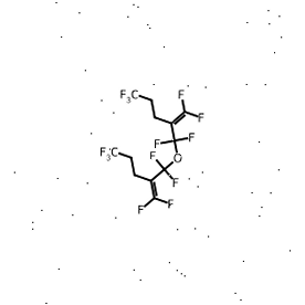 FC(F)=C(CCC(F)(F)F)C(F)(F)OC(F)(F)C(CCC(F)(F)F)=C(F)F